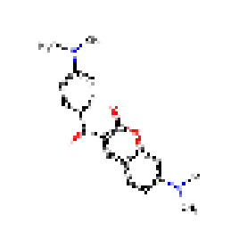 CN(C)c1ccc(C(=O)c2cc3ccc(N(C)C)cc3oc2=O)cc1